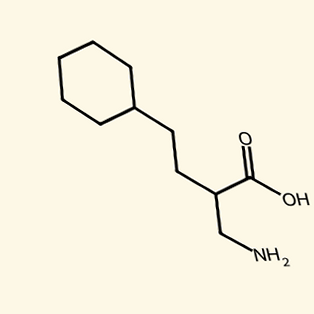 NCC(CCC1CCCCC1)C(=O)O